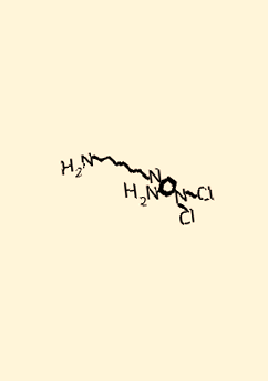 CN(CCCCCCCCN)c1ccc(N(CCCl)CCCl)cc1N